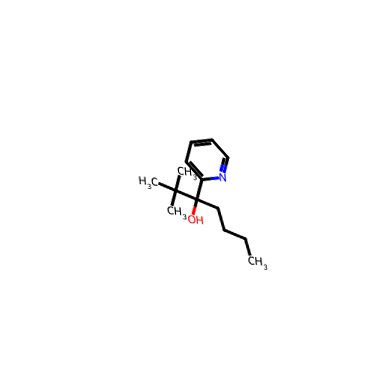 CCCCC(O)(c1ccccn1)C(C)(C)C